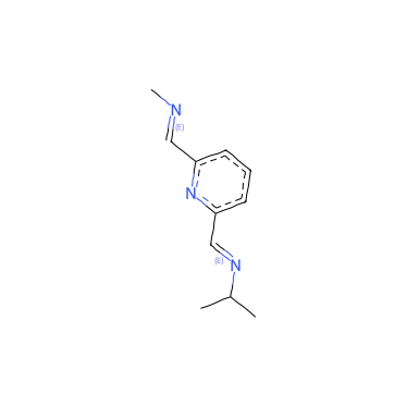 C/N=C/c1cccc(/C=N/C(C)C)n1